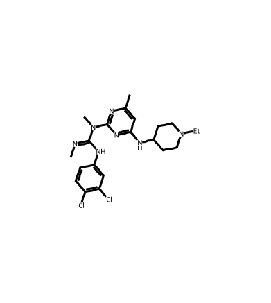 CCN1CCC(Nc2cc(C)nc(N(C)C(=NC)Nc3ccc(Cl)c(Cl)c3)n2)CC1